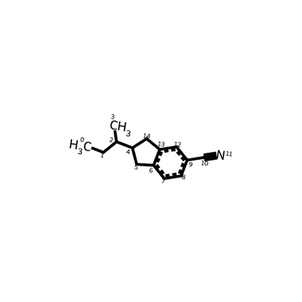 CCC(C)C1Cc2ccc(C#N)cc2C1